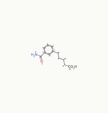 NC(=O)c1cccc(CCCCC(=O)O)c1